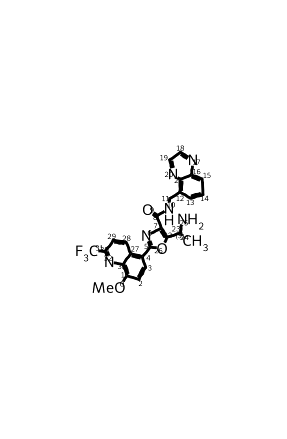 COc1ccc(-c2nc(C(=O)NCc3cccc4nccnc34)c([C@H](C)N)o2)c2ccc(C(F)(F)F)nc12